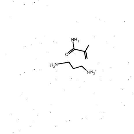 C=C(C)C(N)=O.NCCCN